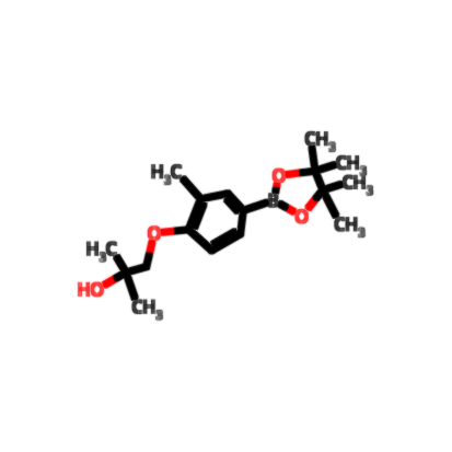 Cc1cc(B2OC(C)(C)C(C)(C)O2)ccc1OCC(C)(C)O